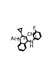 CC(=O)N1c2ccccc2C(Nc2cccc(F)c2)[C@@H](C)[C@@H]1C1CC1